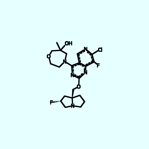 CC1(O)COCCN(c2nc(OC[C@@]34CCCN3C[C@H](F)C4)nc3c(F)c(Cl)ncc23)C1